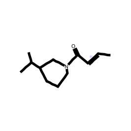 C/C=C/C(=O)N1CCCC(C(C)C)C1